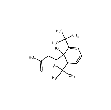 CC(C)(C)C1=CC=CC(C(C)(C)C)C1(O)CCC(=O)O